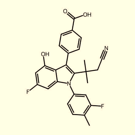 Cc1ccc(-n2c(C(C)(C)CC#N)c(-c3ccc(C(=O)O)cc3)c3c(O)cc(F)cc32)cc1F